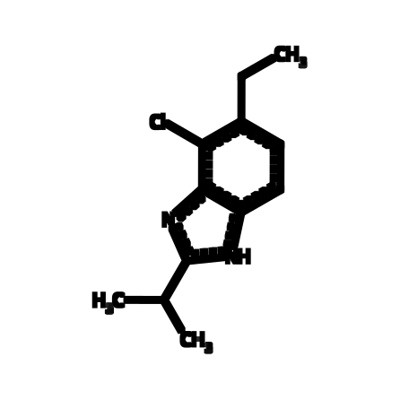 CCc1ccc2[nH]c(C(C)C)nc2c1Cl